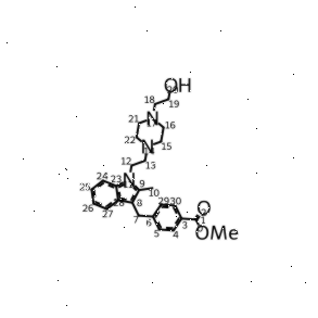 COC(=O)c1ccc(Cc2c(C)n(CCN3CCN(CCO)CC3)c3ccccc23)cc1